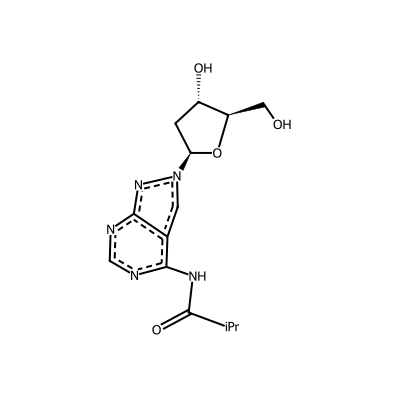 CC(C)C(=O)Nc1ncnc2nn([C@H]3C[C@H](O)[C@@H](CO)O3)cc12